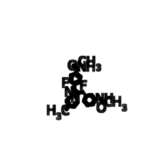 CNC(=O)c1cc(F)c(-c2nc3cc(C)ccn3c2C[C@@H]2CCC[C@H](NC(C)=O)C2)c(F)c1